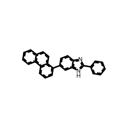 c1ccc(-c2nc3ccc(-c4cccc5c4ccc4ccccc45)cc3[nH]2)cc1